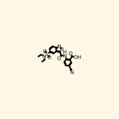 CCN(CC)S(=O)(=O)c1ccc2noc(C(=O)Nc3ccc(C#N)cc3C(=O)O)c2c1